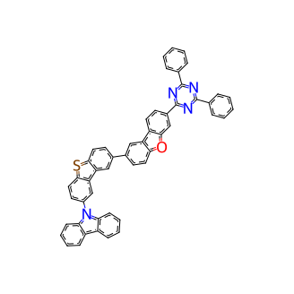 c1ccc(-c2nc(-c3ccccc3)nc(-c3ccc4c(c3)oc3ccc(-c5ccc6sc7ccc(-n8c9ccccc9c9ccccc98)cc7c6c5)cc34)n2)cc1